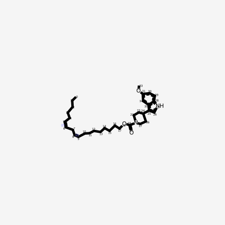 CCCCC/C=C\C/C=C\CCCCCCCCOC(=O)N1CCC(c2c[nH]c3ccc(OC)cc23)CC1